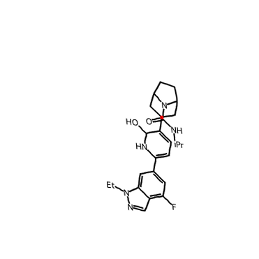 CCn1ncc2c(F)cc(C3=CC=C(C4CC5CCC(C4)N5C(=O)NC(C)C)C(O)N3)cc21